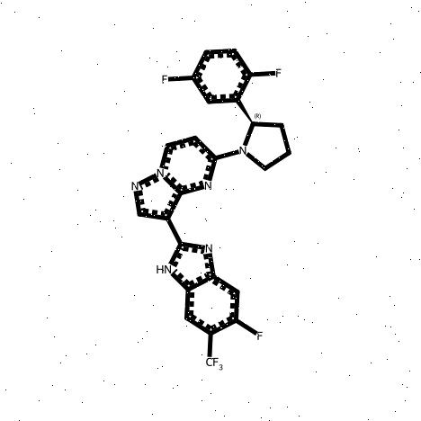 Fc1ccc(F)c([C@H]2CCCN2c2ccn3ncc(-c4nc5cc(F)c(C(F)(F)F)cc5[nH]4)c3n2)c1